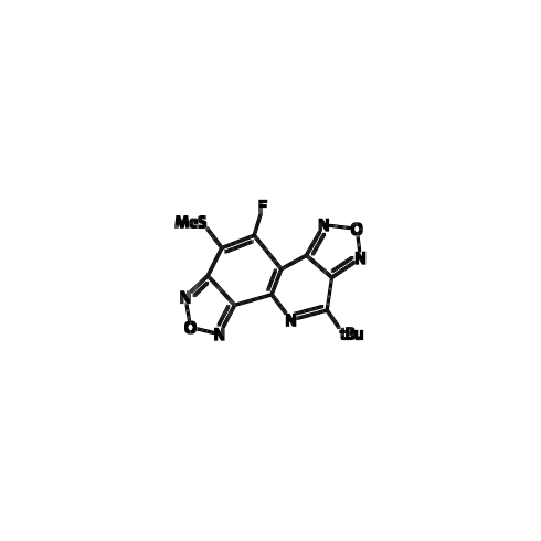 CSc1c(F)c2c3nonc3c(C(C)(C)C)nc2c2nonc12